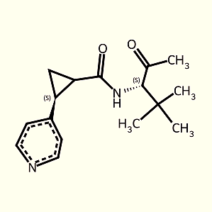 CC(=O)[C@@H](NC(=O)C1C[C@@H]1c1ccncc1)C(C)(C)C